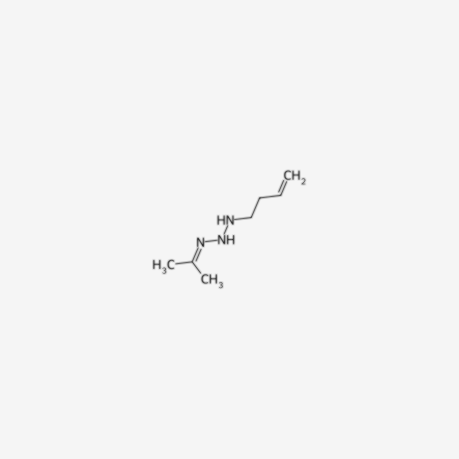 C=CCCNNN=C(C)C